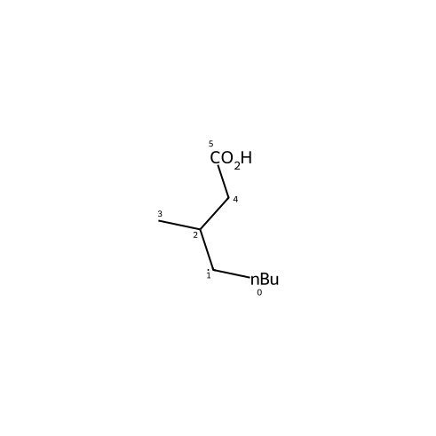 CCCC[CH]C(C)CC(=O)O